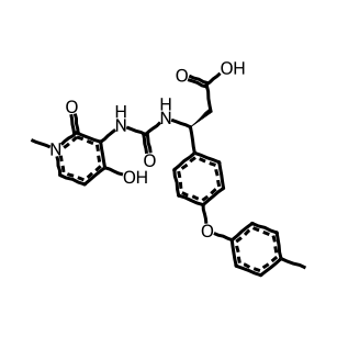 Cc1ccc(Oc2ccc([C@H](CC(=O)O)NC(=O)Nc3c(O)ccn(C)c3=O)cc2)cc1